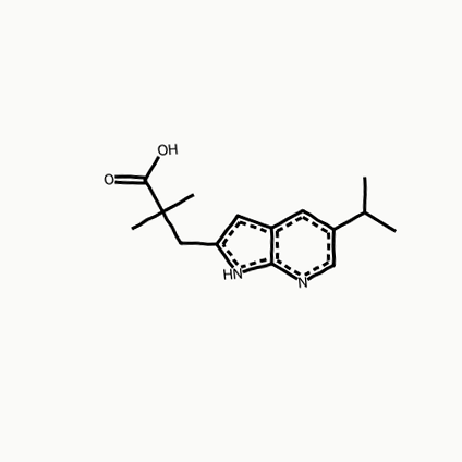 CC(C)c1cnc2[nH]c(CC(C)(C)C(=O)O)cc2c1